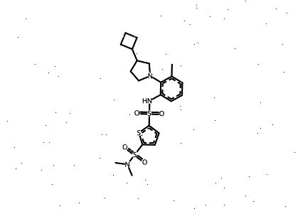 Cc1cccc(NS(=O)(=O)c2ccc(S(=O)(=O)N(C)C)s2)c1N1CCC(C2CCC2)C1